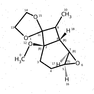 CO[C@]12CC[C@@H]3O[C@@H]3[C@H]1C(C)C21OCCO1